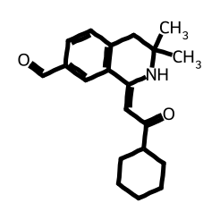 CC1(C)Cc2ccc(C=O)cc2/C(=C/C(=O)C2CCCCC2)N1